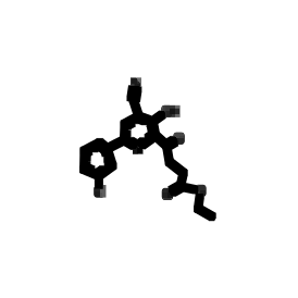 CCOC(=O)CCC(=O)c1nc(-c2cccc(Cl)c2)cc(C#N)c1O